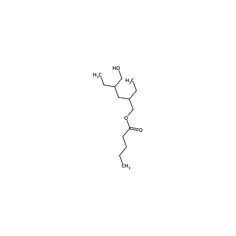 CCCCC(=O)OCC(CC)CC(CC)CO